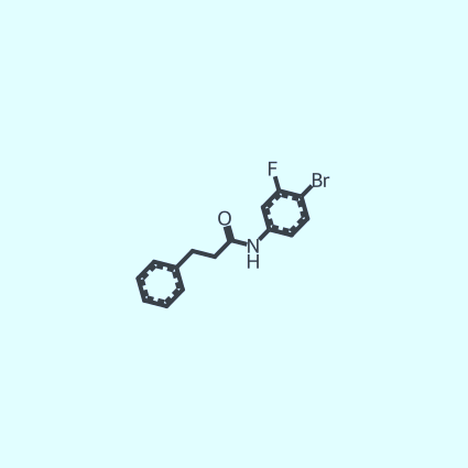 O=C(CCc1ccccc1)Nc1ccc(Br)c(F)c1